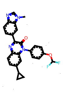 Cn1cnc2ccc(-c3nc4ccc(C5CC5)cc4n(-c4ccc(OC(F)F)cc4)c3=O)cc21